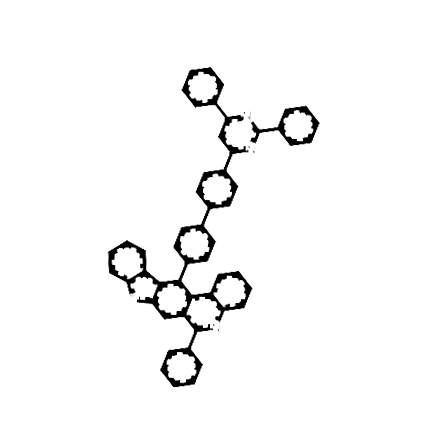 c1ccc(-c2cc(-c3ccc(-c4ccc(-c5c6c(cc7c(-c8ccccc8)nc8ccccc8c57)oc5ccccc56)cc4)cc3)nc(-c3ccccc3)n2)cc1